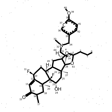 CCCC1O[C@@H]2CC3[C@@H]4C[C@H](F)C5=CC(=O)C(C)C[C@]5(C)[C@@]4(F)[C@@H](O)C[C@]3(C)[C@]2(C(=O)CN(C)Cc2ccc(OC)cc2)O1